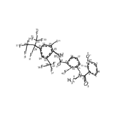 CN(C(=O)c1ccc[n+]([O-])c1)c1cccc(C(=O)Nc2c(I)cc(C(F)(C(F)(F)F)C(F)(F)F)cc2C(F)(F)F)c1F